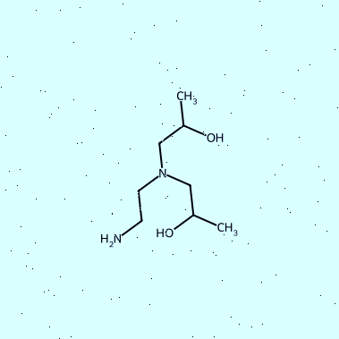 CC(O)CN(CCN)CC(C)O